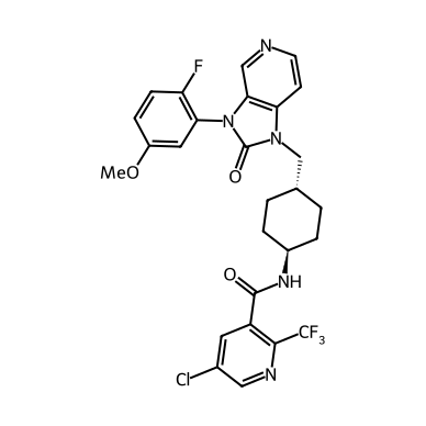 COc1ccc(F)c(-n2c(=O)n(C[C@H]3CC[C@H](NC(=O)c4cc(Cl)cnc4C(F)(F)F)CC3)c3ccncc32)c1